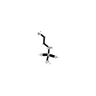 O=S(=O)(N[CH]CBr)C(F)(F)F